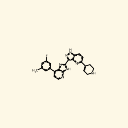 Cc1cc(F)cc(-c2ccnc3[nH]c(-c4n[nH]c5ccc(C6=CCNCC6)nc45)nc23)c1